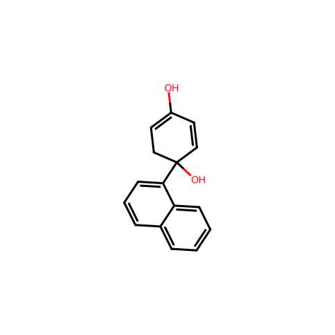 OC1=CCC(O)(c2cccc3ccccc23)C=C1